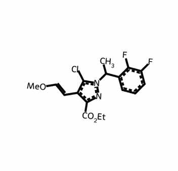 CCOC(=O)c1nn(C(C)c2cccc(F)c2F)c(Cl)c1C=COC